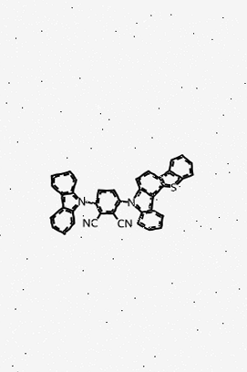 N#Cc1c(-n2c3ccccc3c3ccccc32)ccc(-n2c3ccccc3c3c4sc5ccccc5c4ccc32)c1C#N